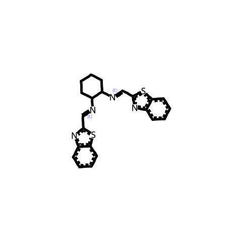 C(=N\C1CCCCC1/N=C/c1nc2ccccc2s1)/c1nc2ccccc2s1